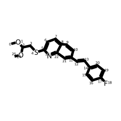 COC(CSc1ccc2ccc(/C=C/c3ccc(F)cc3)cc2n1)OC